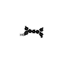 COc1ccc(N(c2ccc(C)cc2)c2ccc(-c3ccc(-c4ccc(N(c5ccc(C)cc5)c5ccc(CO)cc5)cc4)cc3)cc2)cc1